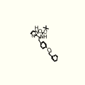 CC(C)(C)OC(=O)N[C@@H](Cc1ccc(OCc2ccccc2)cc1)c1ncc[nH]1